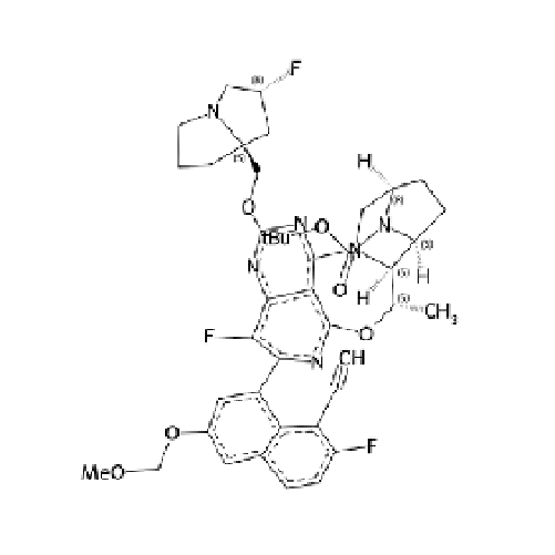 C#Cc1c(F)ccc2cc(OCOC)cc(-c3nc4c5c(nc(OC[C@@]67CCCN6C[C@H](F)C7)nc5c3F)N3C[C@H]5CC[C@@H]([C@H]3[C@H](C)O4)N5C(=O)OC(C)(C)C)c12